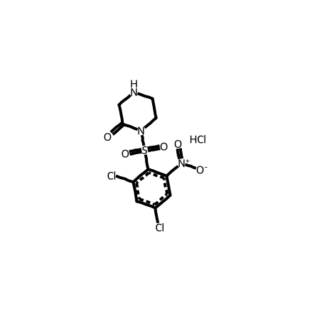 Cl.O=C1CNCCN1S(=O)(=O)c1c(Cl)cc(Cl)cc1[N+](=O)[O-]